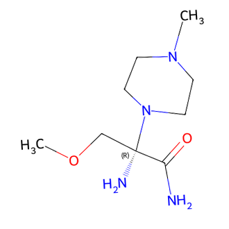 COC[C@](N)(C(N)=O)N1CCN(C)CC1